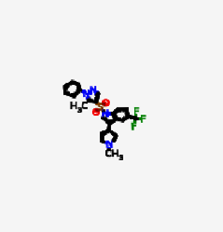 Cc1c(S(=O)(=O)n2cc(C3=CCN(C)CC3)c3cc(C(F)(F)F)ccc32)cnn1-c1ccccc1